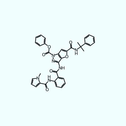 Cn1cccc1C(=O)Nc1ccccc1C(=O)Nc1nn(C(=O)Oc2ccccc2)c2cc(C(=O)NC(C)(C)c3ccccc3)oc12